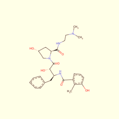 Cc1c(O)cccc1C(=O)N[C@@H](Cc1ccccc1)[C@H](O)C(=O)N1C[C@H](O)C[C@H]1C(=O)NCCN(C)C